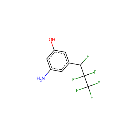 Nc1cc(O)cc(C(F)C(F)(F)C(F)(F)F)c1